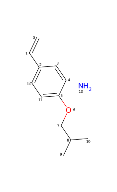 C=Cc1ccc(OCC(C)C)cc1.N